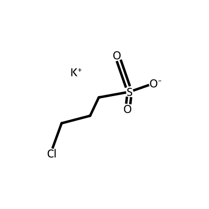 O=S(=O)([O-])CCCCl.[K+]